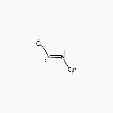 [Cu+][N]=[N][Cu+]